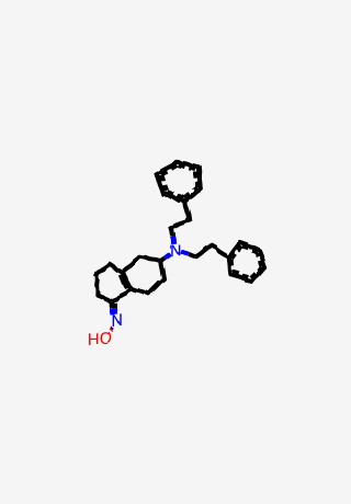 ON=C1CCCC2=C1CCC(N(CCc1ccccc1)CCc1ccccc1)C2